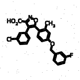 Cc1cc(OCc2cccc(F)c2)ccc1-c1onc(C(=O)O)c1-c1cccc(Cl)c1